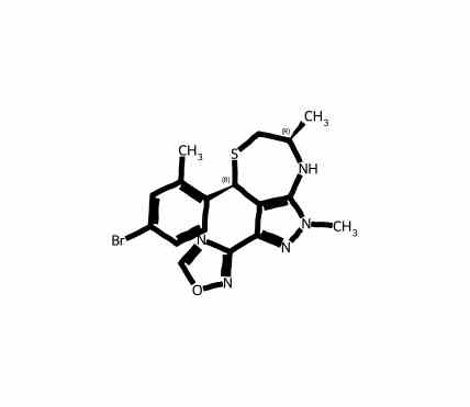 Cc1cc(Br)ccc1[C@H]1SC[C@@H](C)Nc2c1c(-c1ncon1)nn2C